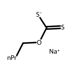 CCCCOC(=S)[S-].[Na+]